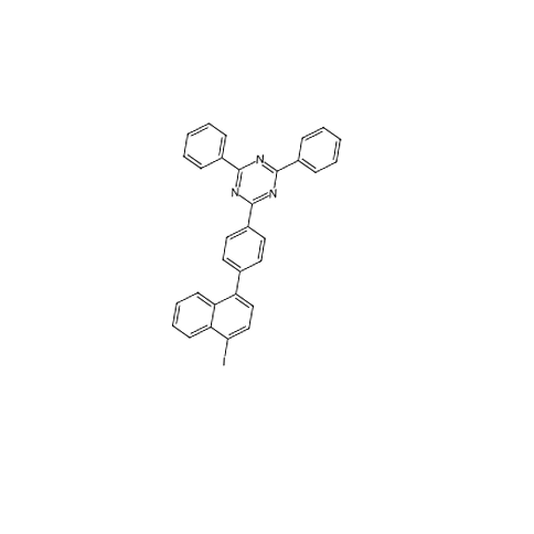 Ic1ccc(-c2ccc(-c3nc(-c4ccccc4)nc(-c4ccccc4)n3)cc2)c2ccccc12